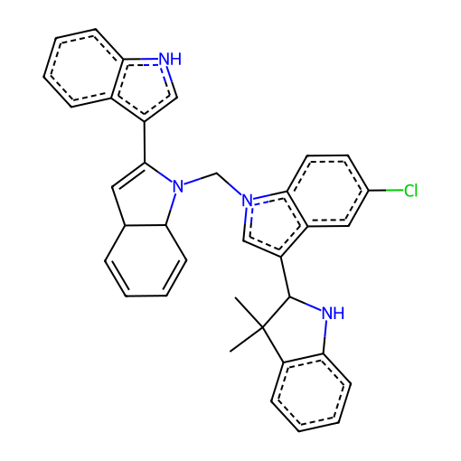 CC1(C)c2ccccc2NC1c1cn(CN2C(c3c[nH]c4ccccc34)=CC3C=CC=CC32)c2ccc(Cl)cc12